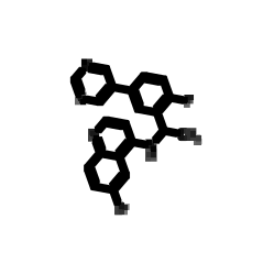 CC(Nc1ccnc2ccc(Br)cc12)c1cc(-c2cncnc2)ccc1F